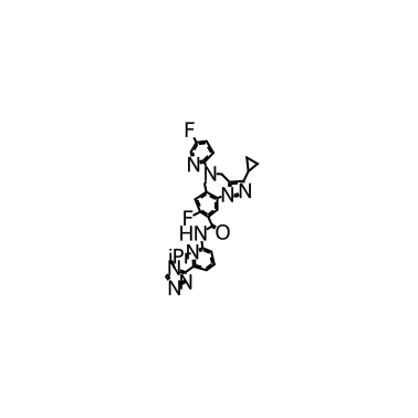 CC(C)n1cnnc1-c1cccc(NC(=O)c2cc3c(cc2F)CN(c2ccc(F)cn2)Cc2c(C4CC4)ncn2-3)n1